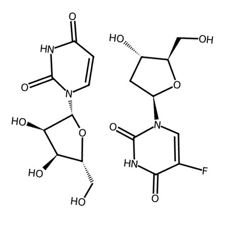 O=c1[nH]c(=O)n([C@H]2C[C@H](O)[C@@H](CO)O2)cc1F.O=c1ccn([C@@H]2O[C@H](CO)[C@@H](O)[C@H]2O)c(=O)[nH]1